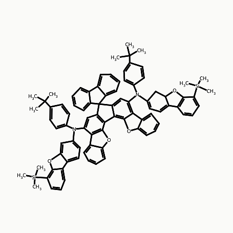 CC(C)(C)c1ccc(N(C2=CC=C3c4cccc([Si](C)(C)C)c4OC3C2)c2cc3c(c4oc5ccccc5c24)-c2c(cc(N(c4ccc(C(C)(C)C)cc4)c4ccc5c(c4)oc4c([Si](C)(C)C)cccc45)c4c2oc2ccccc24)C32c3ccccc3-c3ccccc32)cc1